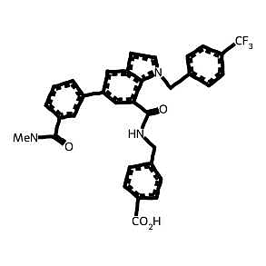 CNC(=O)c1cccc(-c2cc(C(=O)NCc3ccc(C(=O)O)cc3)c3c(ccn3Cc3ccc(C(F)(F)F)cc3)c2)c1